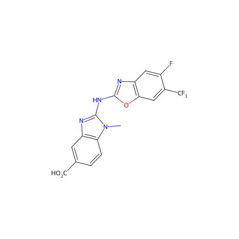 Cn1c(Nc2nc3cc(F)c(C(F)(F)F)cc3o2)nc2cc(C(=O)O)ccc21